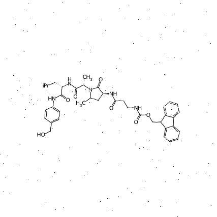 CC(C)C[C@H](NC(=O)[C@H](C)N1C(=O)[C@@H](NC(=O)CCNC(=O)OCC2c3ccccc3-c3ccccc32)CC1C)C(=O)Nc1ccc(CO)cc1